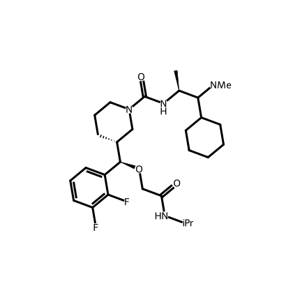 CNC(C1CCCCC1)[C@H](C)NC(=O)N1CCC[C@@H]([C@@H](OCC(=O)NC(C)C)c2cccc(F)c2F)C1